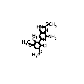 COC1=C(C)C(c2cc3c(c(N)n2)=NC(SC)NC=3)=C(Cl)C(OC)C1